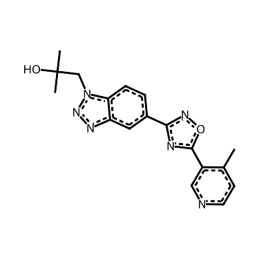 Cc1ccncc1-c1nc(-c2ccc3c(c2)nnn3CC(C)(C)O)no1